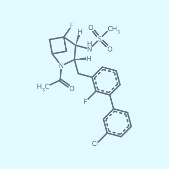 CC(=O)N1C2CC(F)(C2)[C@H](NS(C)(=O)=O)[C@@H]1Cc1cccc(-c2cccc(Cl)c2)c1F